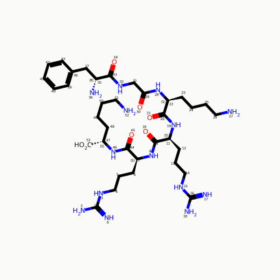 N=C(N)NCCC[C@H](NC(=O)[C@H](CCCNC(=N)N)NC(=O)[C@H](CCCCN)NC(=O)CNC(=O)[C@H](N)Cc1ccccc1)C(=O)N[C@@H](CCCCN)C(=O)O